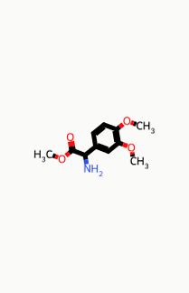 COC(=O)C(N)c1ccc(OC)c(OC)c1